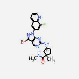 CNC(=O)[C@]1(C)CC[C@@H](Nc2ncc3c(Br)nn(-c4cc(F)c5ncccc5c4)c3n2)C1